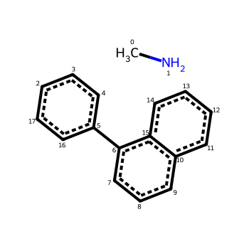 CN.c1ccc(-c2cccc3ccccc23)cc1